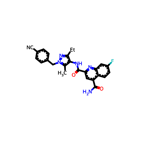 CCc1nn(Cc2ccc(C#N)cc2)c(C)c1NC(=O)c1cc(C(N)=O)c2ccc(F)cc2n1